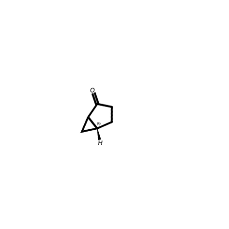 O=C1CC[C@@H]2CC12